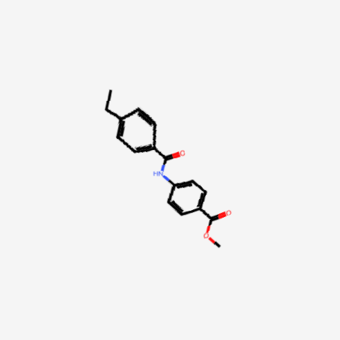 CCc1ccc(C(=O)Nc2ccc(C(=O)OC)cc2)cc1